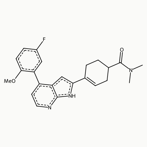 COc1ccc(F)cc1-c1ccnc2[nH]c(C3=CCC(C(=O)N(C)C)CC3)cc12